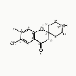 Cc1cc2c(cc1Cl)C(=O)CC1(CCNCC1)O2